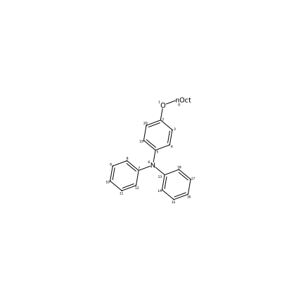 CCCCCCCCOc1ccc(N(c2ccccc2)c2ccccc2)cc1